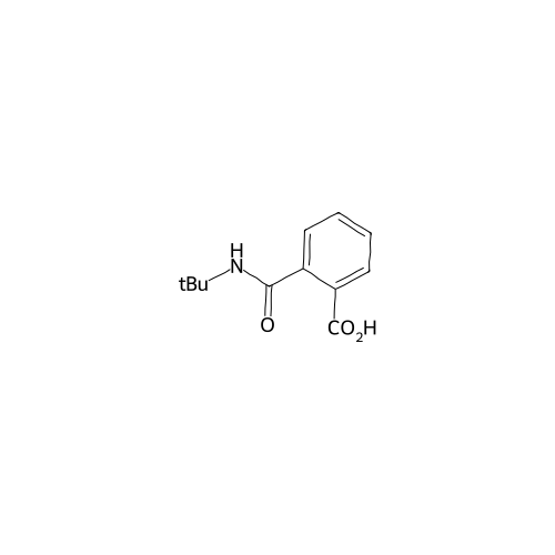 CC(C)(C)NC(=O)c1ccccc1C(=O)O